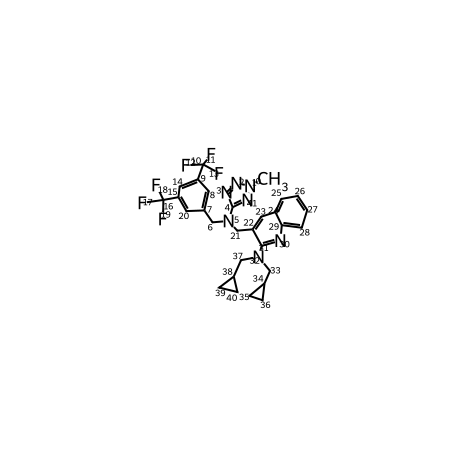 Cn1nnc(N(Cc2cc(C(F)(F)F)cc(C(F)(F)F)c2)Cc2cc3ccccc3nc2N(CC2CC2)CC2CC2)n1